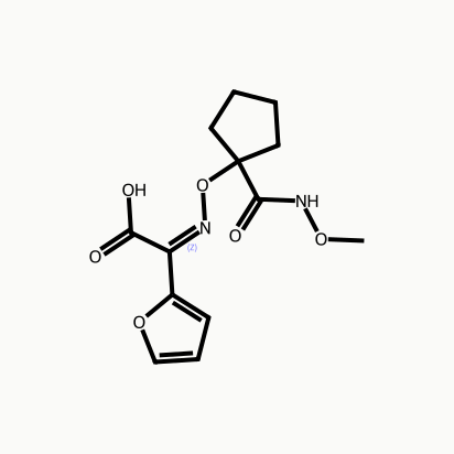 CONC(=O)C1(O/N=C(\C(=O)O)c2ccco2)CCCC1